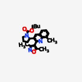 Cc1noc(C)c1-c1nc2c(C)cccc2cc1C1CCCN1C(=O)OC(C)(C)C